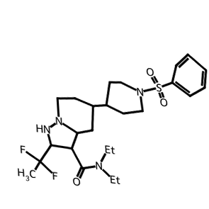 CCN(CC)C(=O)C1C2CC(C3CCN(S(=O)(=O)c4ccccc4)CC3)CCN2NC1C(C)(F)F